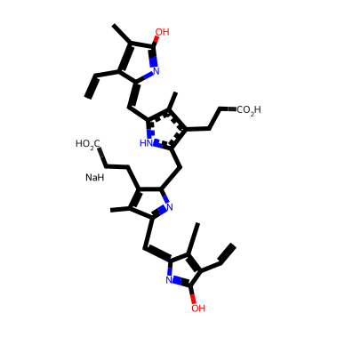 C=CC1=C(C)C(O)=NC1=Cc1[nH]c(CC2N=C(C=C3N=C(O)C(C=C)=C3C)C(C)=C2CCC(=O)O)c(CCC(=O)O)c1C.[NaH]